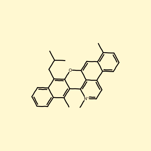 Cc1c2c(c(CC(C)C)c3ccccc13)Oc1cc3c(C)cccc3c3cc[n+](C)c-2c13